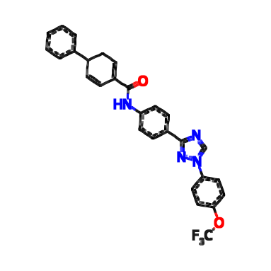 O=C(Nc1ccc(-c2ncn(-c3ccc(OC(F)(F)F)cc3)n2)cc1)C1=CCC(c2ccccc2)C=C1